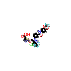 CN(C(=O)c1cccc(-n2nc(C(F)(F)F)c(Cl)c2COc2ncc(C(=O)O)s2)c1)c1ccc2c(c1)OC(F)(F)O2